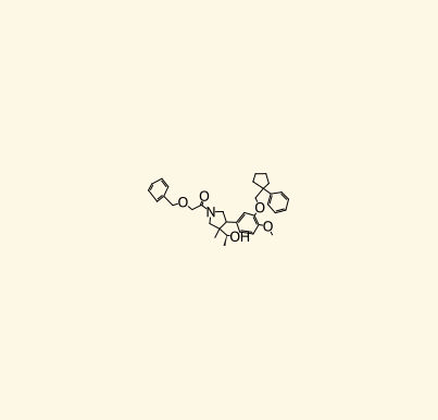 COc1ccc(C2CN(C(=O)COCc3ccccc3)CC2(C)[C@H](C)O)cc1OCC1(c2ccccc2)CCCC1